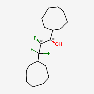 O[C@H](C1CCCCCCC1)[C@H](F)C(F)(F)C1CCCCCCC1